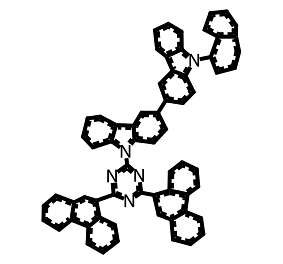 c1ccc2c(-n3c4ccccc4c4cc(-c5ccc6c(c5)c5ccccc5n6-c5nc(-c6cc7ccccc7c7ccccc67)nc(-c6cc7ccccc7c7ccccc67)n5)ccc43)cccc2c1